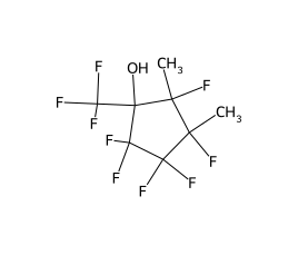 CC1(F)C(C)(F)C(O)(C(F)(F)F)C(F)(F)C1(F)F